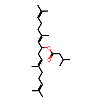 CC(C)=CCC/C(C)=C/CC(/C=C(\C)CCC=C(C)C)OC(=O)CC(C)C